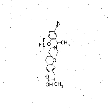 CC(Cc1ccc2c(c1)OC1(CC2)CCN(C(C)c2cc(C#N)ccc2OC(F)(F)F)CC1)C(=O)O